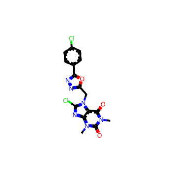 Cn1c(=O)c2c(nc(Cl)n2Cc2nnc(-c3ccc(Cl)cc3)o2)n(C)c1=O